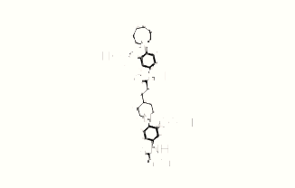 CCCCC(=O)Nc1ccc(N2CCC(CCC(=O)Nc3ccc(N4CCCCCC4)c(C(=O)O)c3)CC2)c(C(=O)O)c1